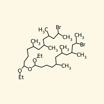 CCOC(CCCC(C)CC(C)CC(C)CC(C)Br)OC(CCCC(C)CC(C)CC(C)CC(C)Br)OCC